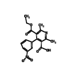 CCOC(=O)c1c(C)nc(C)c(C(=O)O)c1-c1cccc([N+](=O)[O-])c1